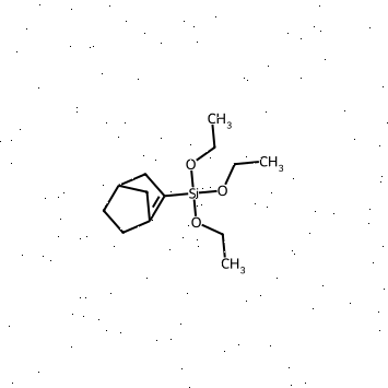 CCO[Si](OCC)(OCC)C1=C2CCC(C2)C1